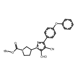 CC(C)(C)OC(=O)N1CCC(n2nc(-c3ccc(Oc4ccccc4)cc3)c(C#N)c2C=O)C1